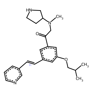 CC(C)COc1cc(/C=C/c2cccnc2)cc(C(=O)CN(C)C2CCNC2)c1